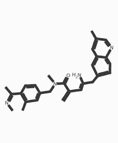 C=C(/C=C(\N)Cc1ccc2ncc(C)cc2c1)C(=O)N(C)Cc1ccc(/C(C)=N\C)c(C)c1